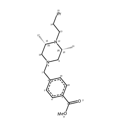 COC(=O)c1ccc(CN2C[C@@H](C)N(CCC(C)C)[C@@H](C)C2)cc1